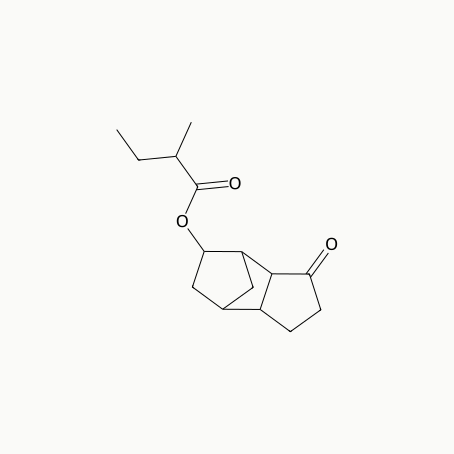 CCC(C)C(=O)OC1CC2CC1C1C(=O)CCC21